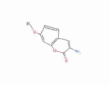 CCOc1ccc2cc(N)c(=O)oc2c1